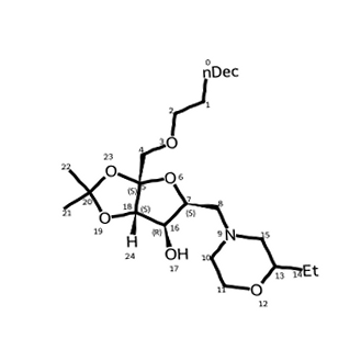 CCCCCCCCCCCCOC[C@@]12O[C@@H](CN3CCOC(CC)C3)[C@@H](O)[C@@H]1OC(C)(C)O2